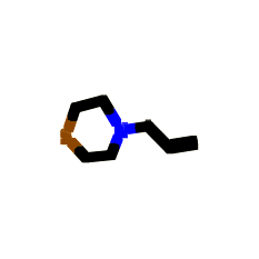 C=C[CH]N1CCSCC1